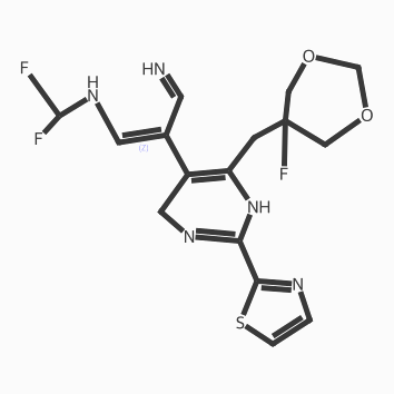 N=C/C(=C\NC(F)F)C1=C(CC2(F)COCOC2)NC(c2nccs2)=NC1